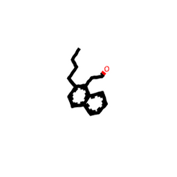 CCCCc1ccc2ccccc2c1C[C]=O